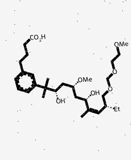 CC[C@H](/C=C(/C)[C@@H](O)C[C@H](C[C@H](O)C(C)(C)c1cccc(CCCC(=O)O)c1)OC)COCOCCOC